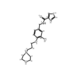 O=C(NCc1ccc(OCCCN2CCOCC2)c(Cl)c1)c1cscn1